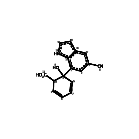 N#Cc1cc(C2(O)C=CC=CC2C(=O)O)c2[nH]ccc2c1